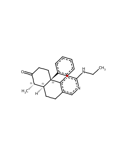 CCNc1ncc2c(n1)[C@@]1(c3ccccc3)CCC(=O)[C@@H](C)[C@@H]1CC2